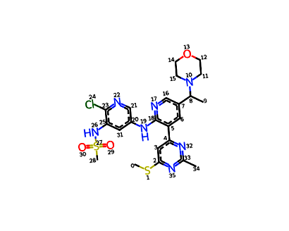 CSc1cc(-c2cc(C(C)N3CCOCC3)cnc2Nc2cnc(Cl)c(NS(C)(=O)=O)c2)nc(C)n1